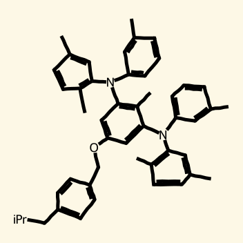 Cc1cccc(N(c2cc(C)ccc2C)c2cc(OCc3ccc(CC(C)C)cc3)cc(N(c3cccc(C)c3)c3cc(C)ccc3C)c2C)c1